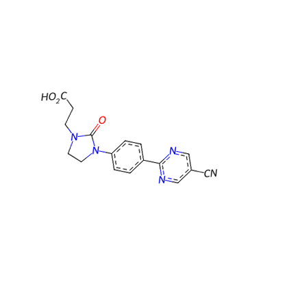 N#Cc1cnc(-c2ccc(N3CCN(CCC(=O)O)C3=O)cc2)nc1